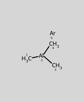 [Ar].[CH3][Al]([CH3])[CH3]